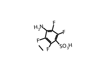 CC.Nc1c(F)c(F)c(S(=O)(=O)O)c(F)c1F